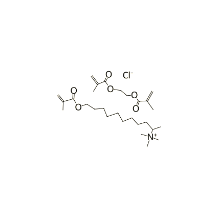 C=C(C)C(=O)OCCCCCCCCCC(C)[N+](C)(C)C.C=C(C)C(=O)OCCOC(=O)C(=C)C.[Cl-]